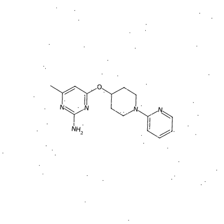 Cc1cc(OC2CCN(c3cc[c]cn3)CC2)nc(N)n1